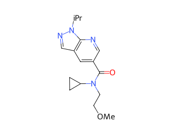 COCCN(C(=O)c1cnc2c(cnn2C(C)C)c1)C1CC1